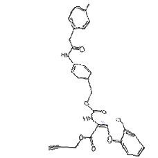 C#CCOC(=O)/C(=C\Oc1ccccc1Cl)NC(=O)OCc1ccc(NC(=O)Cc2ccc(C)cc2)cc1